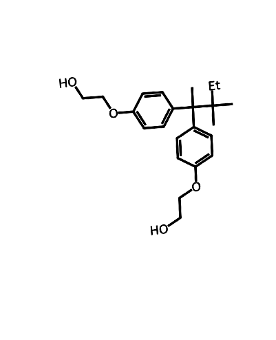 CCC(C)(C)C(C)(c1ccc(OCCO)cc1)c1ccc(OCCO)cc1